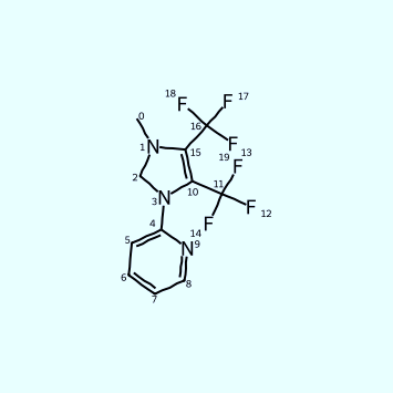 CN1CN(c2ccccn2)C(C(F)(F)F)=C1C(F)(F)F